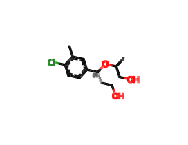 Cc1cc([C@@H](CCO)OC(C)CO)ccc1Cl